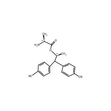 C[C@H](N)C(=O)O[C@@H](C)C(c1ccc(C#N)cc1)c1ccc(C#N)cc1